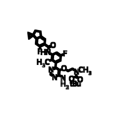 Cc1c(NC(=O)c2cc3c(cc2F)C2(CC3)CC2)cc(F)cc1-c1ncnc(N)c1OCCN(C)C(=O)OC(C)(C)C